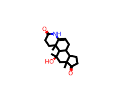 CC1(O)CC2(C)C(=O)CCC2C2CC=C3NC(=O)CCC3(C)C21